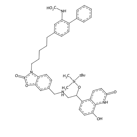 CC(C)(C)[Si](C)(C)OC(CNCc1ccc2c(c1)oc(=O)n2CCCCCc1ccc(-c2ccccc2)c(NC(=O)O)c1)c1ccc(O)c2[nH]c(=O)ccc12